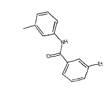 CCc1cccc(C(=O)Nc2cccc(C)c2)c1